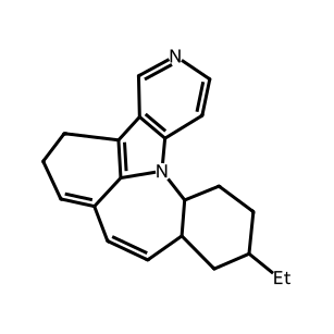 CCC1CCC2C(C=CC3=CCCc4c3n2c2ccncc42)C1